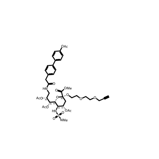 C#CCOCCOCCO[C@]1(C(=O)OC)C[C@H](OC(C)=O)[C@@H](NS(=O)(=O)NC)[C@H]([C@H](OC(C)=O)[C@@H](CNC(=O)Cc2ccc(-c3ccc(OC(C)=O)cc3)cc2)OC(C)=O)O1